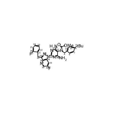 COC(=O)N(Cc1ccc(C(C)(C)C)cc1)c1c(N)nc(-n2nc(Cc3ccccc3F)c3ncc(F)cc32)nc1N